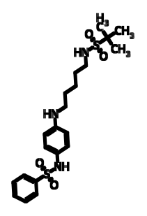 CC(C)(C)S(=O)(=O)NCCCCCNc1ccc(NS(=O)(=O)c2ccccc2)cc1